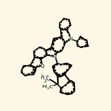 CC1(C)c2ccccc2-c2ccc(-n3c4cc5c(cc4c4ccc6c7ccccc7oc6c43)c3ccccc3n5-c3ccccc3)cc21